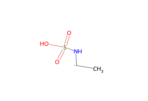 C[CH]NS(=O)(=O)O